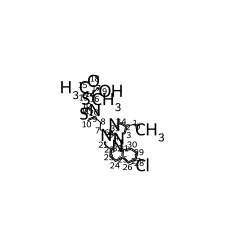 CCc1cnc(N(CCc2csc(SC(C)(C)C(=O)O)n2)Cc2ccc3cc(Cl)ccc3n2)nc1